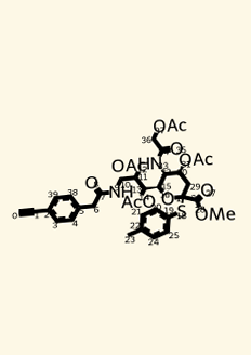 C#Cc1ccc(CC(=O)NCC(OC(C)=O)C(OC(C)=O)[C@@H]2O[C@](Sc3ccc(C)cc3)(C(=O)OC)C[C@H](OC(C)=O)[C@H]2NC(=O)COC(C)=O)cc1